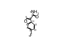 NC(=O)c1coc2cc(F)ccc12